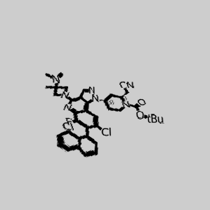 CN(C)C1(C)CN(c2nc3c(F)c(-c4cccc5cccc(Cl)c45)c(Cl)cc3c3c2cnn3[C@H]2CCN(C(=O)OC(C)(C)C)[C@H](CC#N)C2)C1